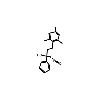 Cc1cc(C)c(CCC(O)(OP=O)c2ccccc2)c(C)c1